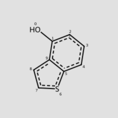 Oc1[c]ccc2sccc12